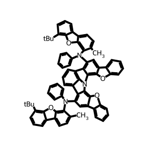 Cc1ccc2c(oc3c(C(C)(C)C)cccc32)c1N(c1ccccc1)c1cc2c3ccccc3oc2c2c1c1cccc3c4c(N(c5ccccc5)c5c(C)ccc6c5oc5c(C(C)(C)C)cccc56)cc5c6ccccc6oc5c4n2c13